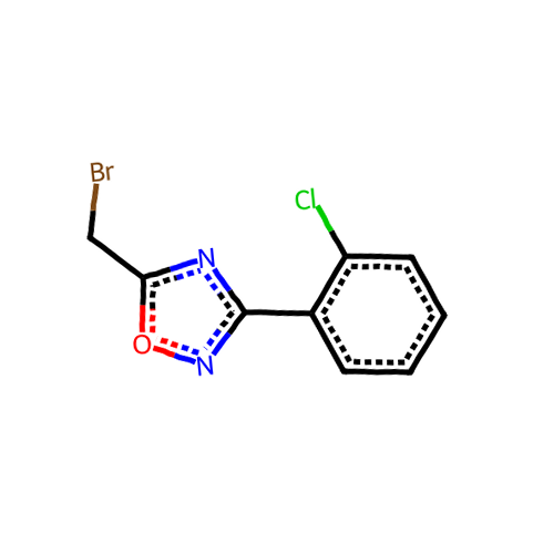 Clc1ccccc1-c1noc(CBr)n1